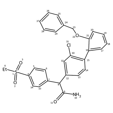 CCS(=O)(=O)c1ccc(C(C(N)=O)c2ccc(-c3ccccc3OCc3ccccc3)c(Cl)c2)cc1